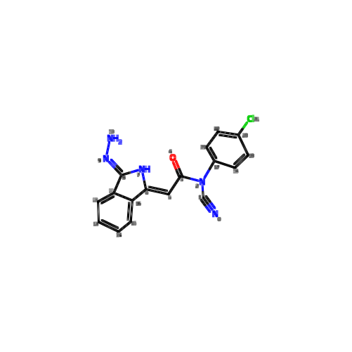 N#CN(C(=O)/C=C1\N/C(=N\N)c2ccccc21)c1ccc(Cl)cc1